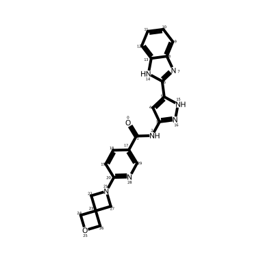 O=C(Nc1cc(-c2nc3ccccc3[nH]2)[nH]n1)c1ccc(N2CC3(COC3)C2)nc1